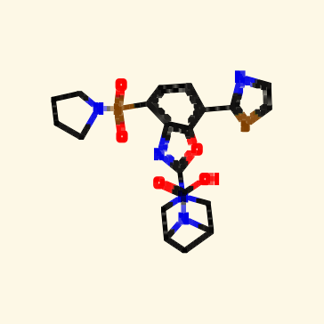 O=C(O)N1C2CC1CN(c1nc3c(S(=O)(=O)N4CCCC4)ccc(-c4nccs4)c3o1)C2